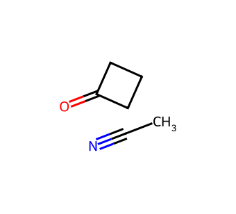 CC#N.O=C1CCC1